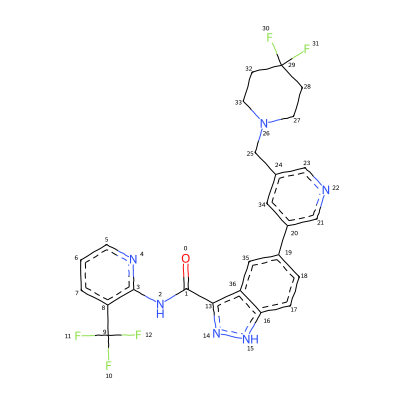 O=C(Nc1ncccc1C(F)(F)F)c1n[nH]c2ccc(-c3cncc(CN4CCC(F)(F)CC4)c3)cc12